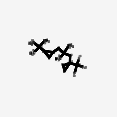 CC(C)(CC1CC1C(C)(C)C)CC1(C(F)(F)F)CC1